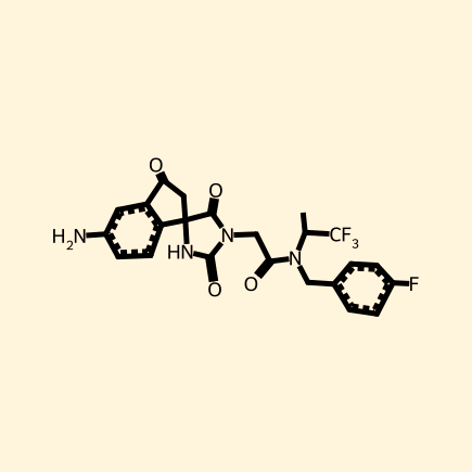 CC(N(Cc1ccc(F)cc1)C(=O)CN1C(=O)NC2(CC(=O)c3cc(N)ccc32)C1=O)C(F)(F)F